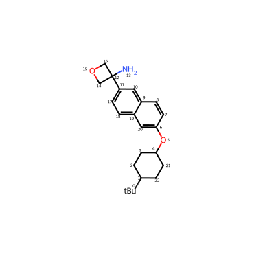 CC(C)(C)C1CCC(Oc2ccc3cc(C4(N)COC4)ccc3c2)CC1